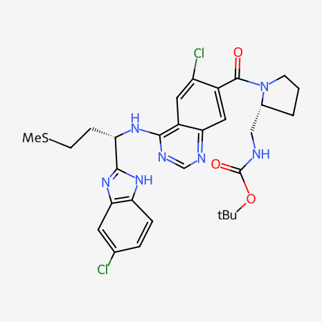 CSCC[C@H](Nc1ncnc2cc(C(=O)N3CCC[C@@H]3CNC(=O)OC(C)(C)C)c(Cl)cc12)c1nc2cc(Cl)ccc2[nH]1